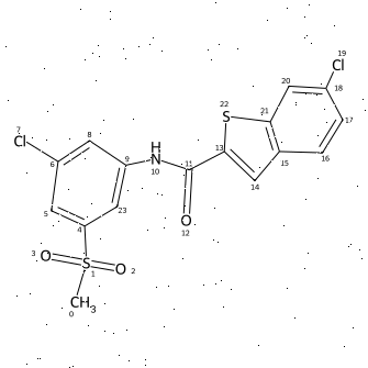 CS(=O)(=O)c1cc(Cl)cc(NC(=O)c2cc3ccc(Cl)cc3s2)c1